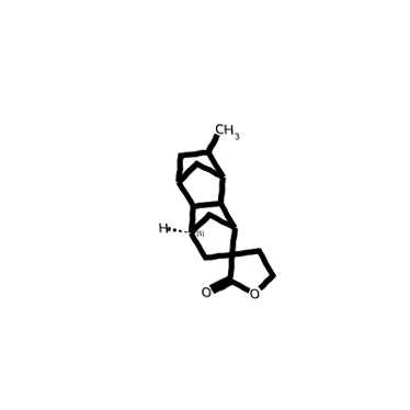 CC1CC2CC1C1C2[C@H]2CC1C1(CCOC1=O)C2